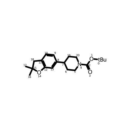 CC(C)(C)OC(=O)N1CCC(c2ccc3c(c2)OC(C)(C)C3)CC1